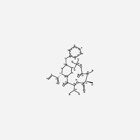 C=CC(=O)[C@@H]1CN(Cc2ccccc2)CCN1C(=O)[C@@H](OC(=O)[C@H](C)N(C)C(=O)OC(C)(C)C)C(C)C